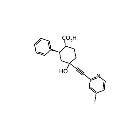 O=C(O)[C@@H]1CCC(O)(C#Cc2cc(F)ccn2)C[C@H]1c1ccccc1